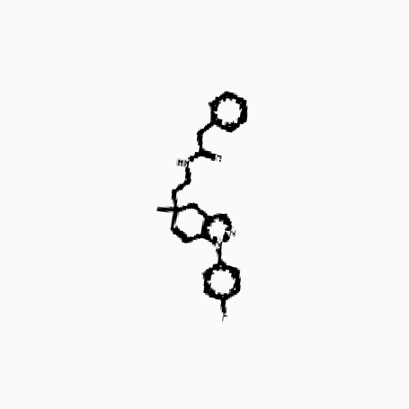 CC1(CCNC(=O)Cc2ccccc2)C=Cc2c(cnn2-c2ccc(F)cc2)C1